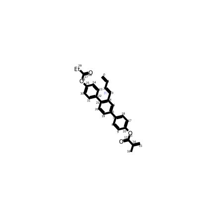 C=C/C=C/c1cc(-c2ccc(OC(=O)C(=C)C)cc2)ccc1-c1ccc(OC(=O)CC)cc1